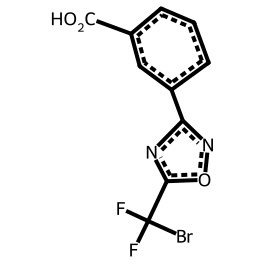 O=C(O)c1cccc(-c2noc(C(F)(F)Br)n2)c1